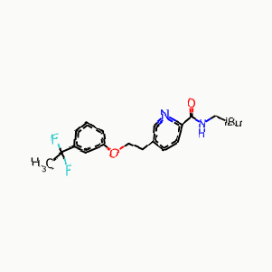 CCC(C)CNC(=O)c1ccc(CCOc2cccc(C(C)(F)F)c2)cn1